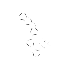 CC1(C)OB(c2cccc3sc4ccc(-c5ccc6oc7cc8ccccc8cc7c6c5)cc4c23)OC1(C)C